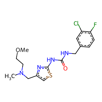 COCCN(C)Cc1csc(NC(=O)NCc2ccc(F)c(Cl)c2)n1